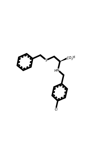 O=C(O)[C@H](CSCc1ccccc1)NCc1ccc(Cl)cc1